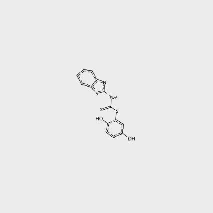 Oc1ccc(O)c(SC(=S)Nc2nc3ccccc3s2)c1